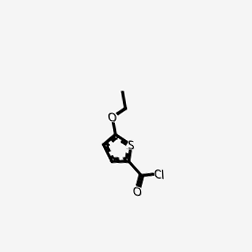 CCOc1ccc(C(=O)Cl)s1